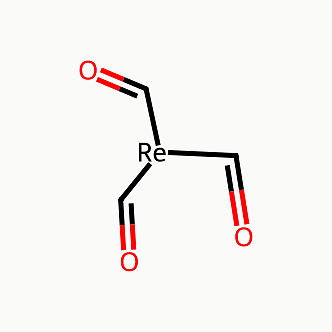 O=[CH][Re]([CH]=O)[CH]=O